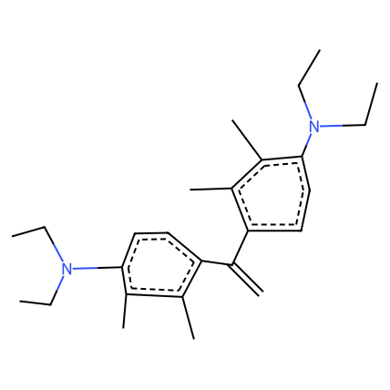 C=C(c1ccc(N(CC)CC)c(C)c1C)c1ccc(N(CC)CC)c(C)c1C